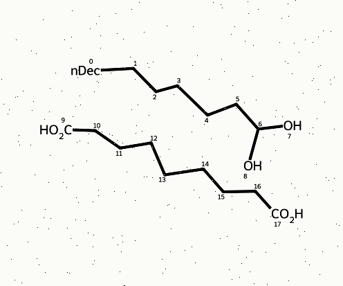 CCCCCCCCCCCCCCCC(O)O.O=C(O)CCCCCCCC(=O)O